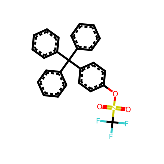 O=S(=O)(Oc1ccc(C(c2ccccc2)(c2ccccc2)c2ccccc2)cc1)C(F)(F)F